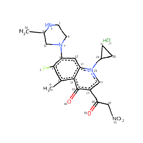 Cc1c(F)c(N2CCNC(C)C2)cc2c1c(=O)c(C(=O)C[N+](=O)[O-])cn2C1CC1.Cl